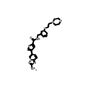 Nc1nc2ccc(-c3csc(C(=O)NCc4cccc(OCCN5CCOCC5)c4)c3)cn2n1